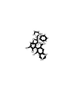 NC(=O)c1cc2ncncc2c(F)c1-c1c(Cl)c(F)cc2c1C[C@](c1ccccc1)([C@@H]1CCCN1)O2